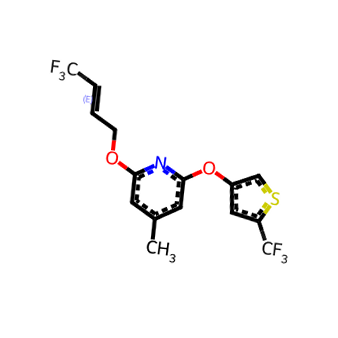 Cc1cc(OC/C=C/C(F)(F)F)nc(Oc2csc(C(F)(F)F)c2)c1